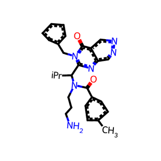 Cc1ccc(C(=O)N(CCCN)C(c2nc3cnncc3c(=O)n2Cc2ccccc2)C(C)C)cc1